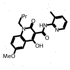 COc1ccc2c(c1)c(O)c(C(=O)Nc1ncccc1C)c(=O)n2CC(C)C